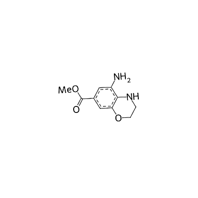 COC(=O)c1cc(N)c2c(c1)OCCN2